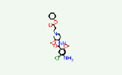 COc1cc(N)c(Cl)cc1C(=O)NC1CCN(CCC(=O)OC2CCCCC2)CC1OC